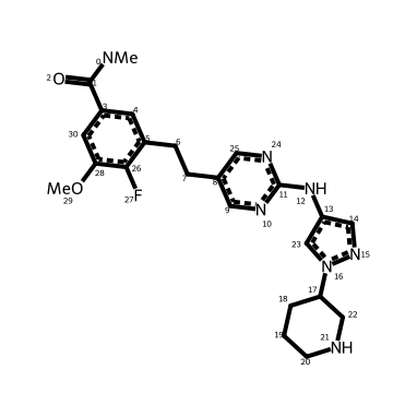 CNC(=O)c1cc(CCc2cnc(Nc3cnn(C4CCCNC4)c3)nc2)c(F)c(OC)c1